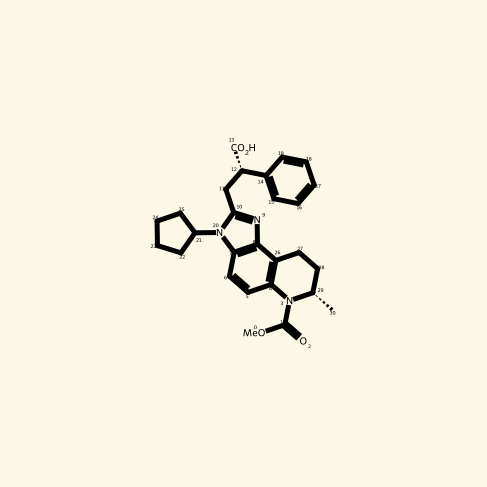 COC(=O)N1c2ccc3c(nc(C[C@H](C(=O)O)c4ccccc4)n3C3CCCC3)c2CC[C@@H]1C